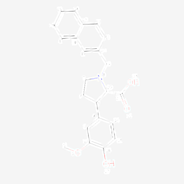 COc1cc(C2CCN(Cc3ccc4ccccc4c3)[C@@H]2C(=O)O)ccc1O